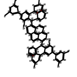 Cc1cc(C)cc(-c2cc(F)c(N(c3ccccc3)c3ccc4ccc5c(N(c6ccccc6)c6c(F)cc(-c7cc(C)cc(C)c7)cc6-c6cc(C)cc(C)c6)ccc6ccc3c4c65)c(-c3cc(C)cc(C)c3)c2)c1